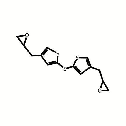 c1sc(Sc2cc(CC3CO3)cs2)cc1CC1CO1